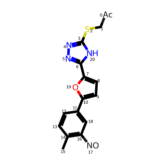 CC(=O)CSc1nnc(-c2ccc(-c3ccc(C)c(N=O)c3)o2)[nH]1